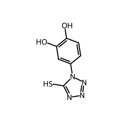 Oc1ccc(-n2nnnc2S)cc1O